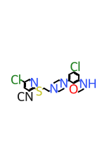 N#Cc1cc(Cl)cnc1SCCN1CCN(c2cc(Cl)cc3c2OCCN3)CC1